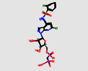 O=P(O)(O)CP(=O)(O)OC[C@H]1OC(n2ncc3c(NS(=O)(=O)c4ccccc4F)cc(Cl)nc32)[C@H](O)[C@@H]1O